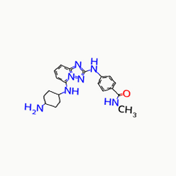 CNC(=O)c1ccc(Nc2nc3cccc(NC4CCC(N)CC4)n3n2)cc1